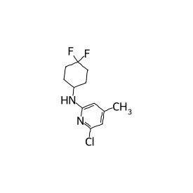 Cc1cc(Cl)nc(NC2CCC(F)(F)CC2)c1